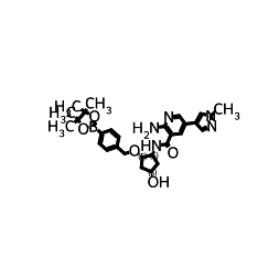 Cn1cc(-c2cnc(N)c(C(=O)N[C@H]3C[C@H](O)C[C@@H]3OCc3ccc(B4OC(C)(C)C(C)(C)O4)cc3)c2)cn1